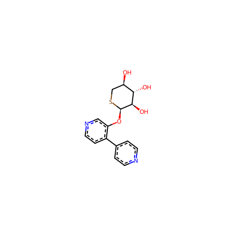 O[C@@H]1[C@@H](O)[C@@H](Oc2cnccc2-c2ccncc2)SC[C@H]1O